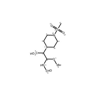 CC(C)(C)OC(NC=O)C(C(=O)O)N1CCN(S(C)(=O)=O)CC1